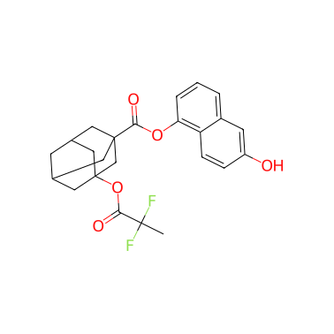 CC(F)(F)C(=O)OC12CC3CC(C1)CC(C(=O)Oc1cccc4cc(O)ccc14)(C3)C2